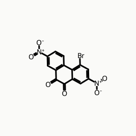 O=C1C(=O)c2cc([N+](=O)[O-])cc(Br)c2-c2ccc([N+](=O)[O-])cc21